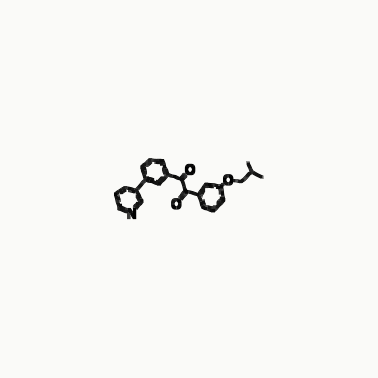 CC(C)COc1cccc(C(=O)C(=O)c2cccc(-c3cccnc3)c2)c1